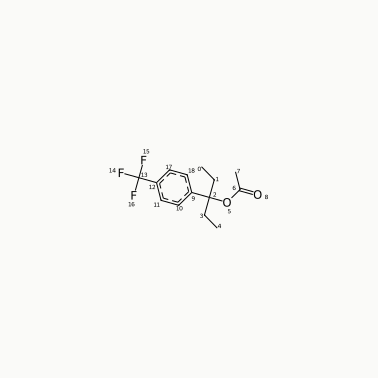 CCC(CC)(OC(C)=O)c1ccc(C(F)(F)F)cc1